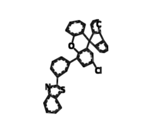 Clc1cc(-c2cccc(-c3nc4ccccc4s3)c2)c2c(c1)C1(c3ccccc3O2)c2ccccc2-c2ccccc21